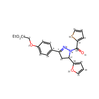 CCOC(=O)COc1ccc(C2=NN(C(=O)c3cccs3)C(c3ccco3)C2)cc1